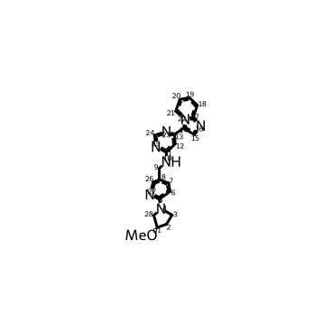 CO[C@@H]1CCN(c2ccc(CNc3cc(-c4cnc5ccccn45)ncn3)cn2)C1